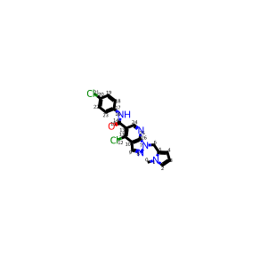 Cn1cccc1Cn1ncc2c(Cl)c(C(=O)Nc3ccc(Cl)cc3)cnc21